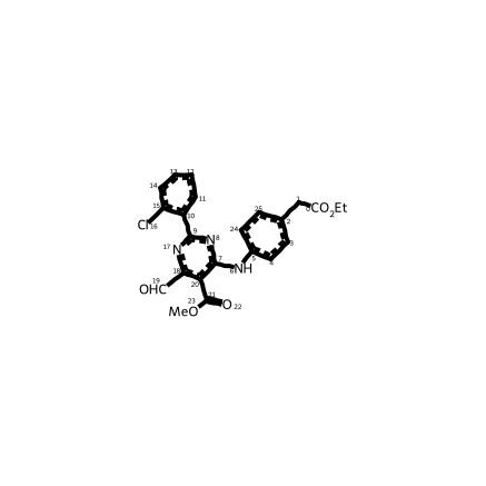 CCOC(=O)Cc1ccc(Nc2nc(-c3ccccc3Cl)nc(C=O)c2C(=O)OC)cc1